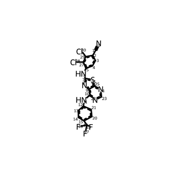 N#Cc1ccc(Nc2nc3c(Nc4ccc(C(F)(F)F)cc4)ncnc3s2)c(Cl)c1Cl